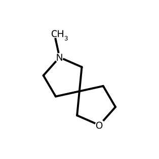 CN1CCC2(CCOC2)C1